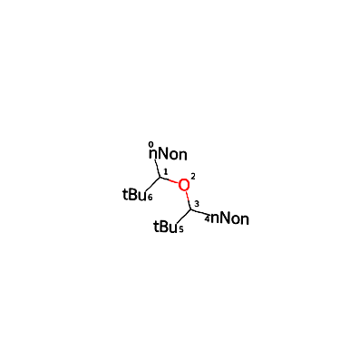 CCCCCCCCCC(OC(CCCCCCCCC)C(C)(C)C)C(C)(C)C